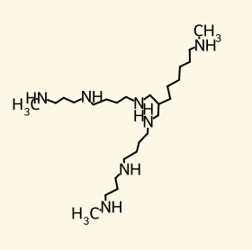 CNCCCCCCC(CNCCCCNCCCNC)CNCCCCNCCCNC